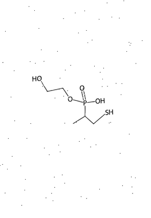 CC(CS)P(=O)(O)OCCO